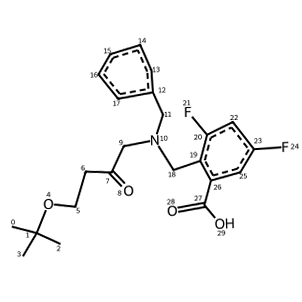 CC(C)(C)OCCC(=O)CN(Cc1ccccc1)Cc1c(F)cc(F)cc1C(=O)O